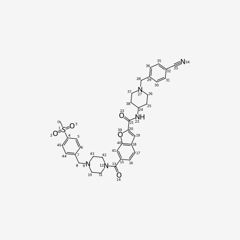 CS(=O)(=O)c1ccc(CN2CCN(C(=O)c3ccc4cc(C(=O)NC5CCN(Cc6ccc(C#N)cc6)CC5)oc4c3)CC2)cc1